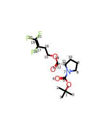 CC(C)(C)OC(=O)N1CCC[C@H]1C(=O)OCCC(F)=C(F)F